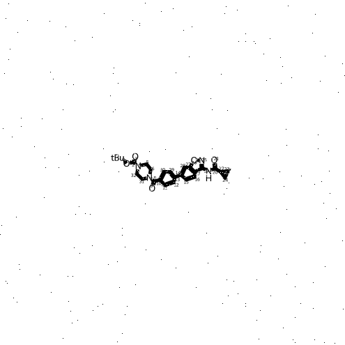 CC(C)(C)OC(=O)N1CCN(C(=O)c2ccc(-c3ccc4c(NC(=O)C5CC5)noc4c3)cc2)CC1